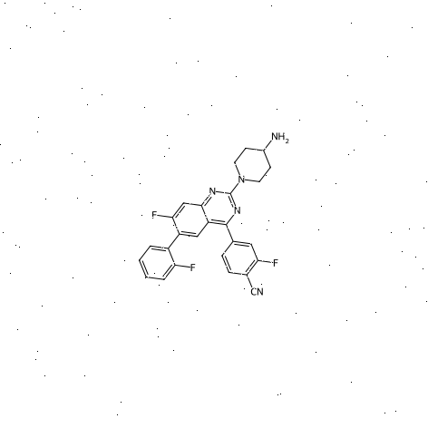 N#Cc1ccc(-c2nc(N3CCC(N)CC3)nc3cc(F)c(-c4ccccc4F)cc23)cc1F